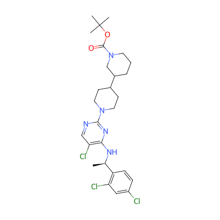 C[C@@H](Nc1nc(N2CCC(C3CCCN(C(=O)OC(C)(C)C)C3)CC2)ncc1Cl)c1ccc(Cl)cc1Cl